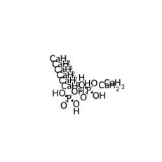 O=P(O)(O)O.O=P(O)(O)O.[CaH2].[CaH2].[CaH2].[CaH2].[CaH2].[CaH2].[CaH2].[CaH2]